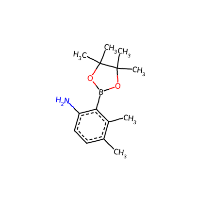 Cc1ccc(N)c(B2OC(C)(C)C(C)(C)O2)c1C